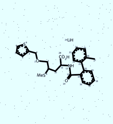 CSC(COCc1cccs1)CC(NC(=O)c1ccccc1-c1ccccc1C)C(=O)O.[LiH]